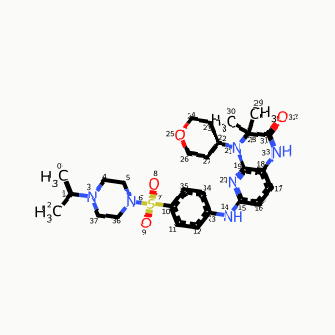 CC(C)N1CCN(S(=O)(=O)c2ccc(Nc3ccc4c(n3)N(C3CCOCC3)C(C)(C)C(=O)N4)cc2)CC1